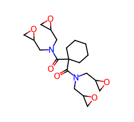 O=C(N(CC1CO1)CC1CO1)C1(C(=O)N(CC2CO2)CC2CO2)CCCCC1